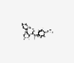 NCC(=O)N1CCC[C@H]1C(=O)Nc1ccc([N+](=O)[O-])cc1